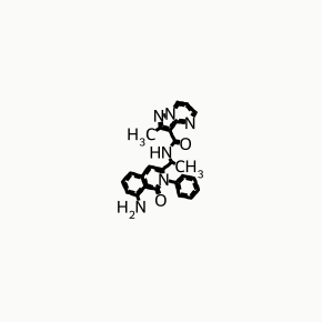 Cc1nn2cccnc2c1C(=O)NC(C)c1cc2cccc(N)c2c(=O)n1-c1ccccc1